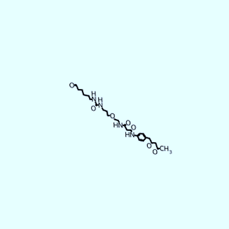 CC(=O)CC(=O)Cc1ccc(NC(=O)CC(=O)NCCOCCCNC(=O)NCCCCCC=O)cc1